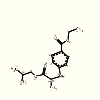 CCOC(=O)c1ccc(N[C@@H](C)C(=O)OCC(C)C)cc1